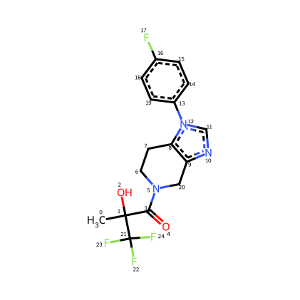 CC(O)(C(=O)N1CCc2c(ncn2-c2ccc(F)cc2)C1)C(F)(F)F